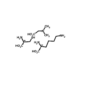 CN(C)CC(=O)O.NCCCC[C@H](N)C(=O)O.N[C@@H](CS)C(=O)O